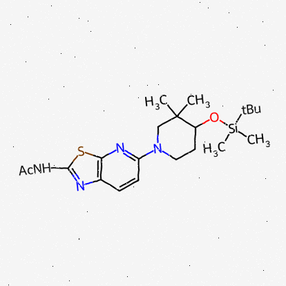 CC(=O)Nc1nc2ccc(N3CCC(O[Si](C)(C)C(C)(C)C)C(C)(C)C3)nc2s1